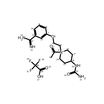 CC(=O)[N+]1(CCOc2cccc(C(=N)N)c2)CCC(NC(N)=O)CC1.O=C(O)C(F)(F)F